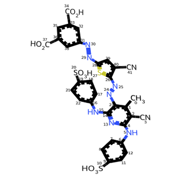 Cc1c(C#N)c(Nc2ccc(S(=O)(=O)O)cc2)nc(Nc2ccc(S(=O)(=O)O)cc2)c1N=Nc1sc(N=Nc2cc(C(=O)O)cc(C(=O)O)c2)cc1C#N